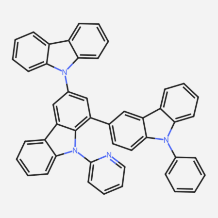 c1ccc(-n2c3ccccc3c3cc(-c4cc(-n5c6ccccc6c6ccccc65)cc5c6ccccc6n(-c6ccccn6)c45)ccc32)cc1